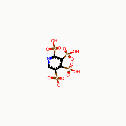 O=S(=O)(O)c1cnc(S(=O)(=O)O)c(S(=O)(=O)O)c1S(=O)(=O)O